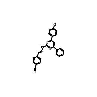 N#Cc1ccc(C=NNc2nc(-c3ccccc3)cc(-c3ccc(Cl)cc3)n2)cc1